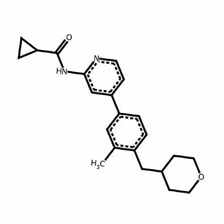 Cc1cc(-c2ccnc(NC(=O)C3CC3)c2)ccc1CC1CCOCC1